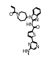 C=CC(=O)N1CCC[C@@H](n2c(NC(=O)c3ccc(-c4cncc(NC)n4)s3)nc3ccccc32)CC1